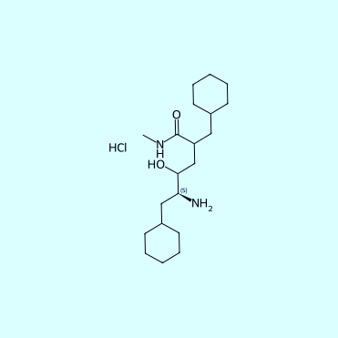 CNC(=O)C(CC1CCCCC1)CC(O)[C@@H](N)CC1CCCCC1.Cl